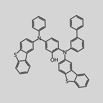 Oc1cc(N(c2ccccc2)c2ccc3sc4ccccc4c3c2)ccc1N(c1cccc(-c2ccccc2)c1)c1ccc2sc3ccccc3c2c1